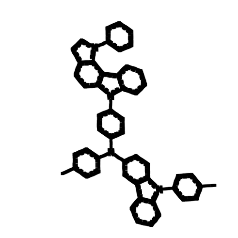 Cc1ccc(N(c2ccc(-n3c4ccccc4c4c5c(ccc43)ccn5-c3ccccc3)cc2)c2ccc3c(c2)c2ccccc2n3-c2ccc(C)cc2)cc1